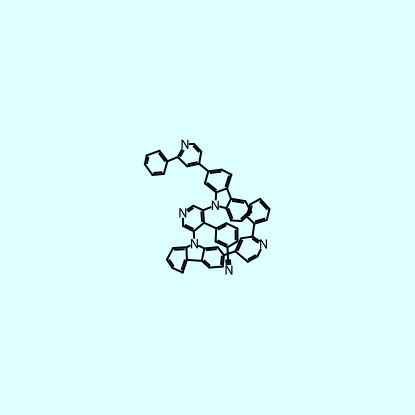 N#Cc1cccc(-c2c(-n3c4ccccc4c4ccc(-c5ccnc(-c6ccccc6)c5)cc43)cncc2-n2c3ccccc3c3ccc(-c4ccnc(-c5ccccc5)c4)cc32)c1